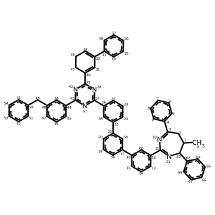 CC1CC(c2ccccc2)=NC(c2cccc(-c3cccc(-c4cccc(-c5nc(C6=CC(c7ccccc7)=CCC6)nc(-c6cccc(Cc7ccccc7)c6)n5)c4)c3)c2)=NC1c1ccccc1